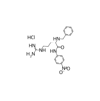 Cl.N=C(N)NCCC[C@H](NCc1ccccc1)C(=O)Nc1ccc([N+](=O)[O-])cc1